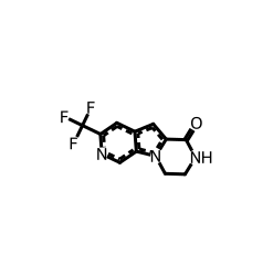 O=C1NCCn2c1cc1cc(C(F)(F)F)ncc12